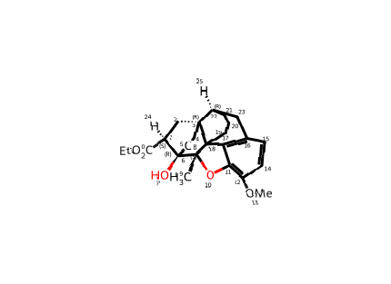 CCOC(=O)[C@H]1C[C@@]23CC[C@]1(O)[C@@]1(C)Oc4c(OC)ccc5c4C21CCC[C@@H]3C5